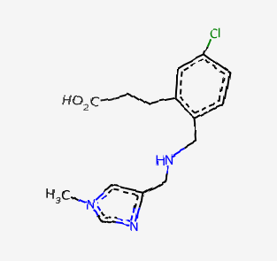 Cn1cnc(CNCc2ccc(Cl)cc2CCC(=O)O)c1